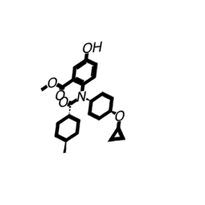 COC(=O)c1cc(O)ccc1N(C(=O)[C@H]1CC[C@H](C)CC1)[C@H]1CC[C@H](OC2CC2)CC1